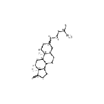 C=C1CCC2C3CCC4CC(=NOCC(C)N)CC[C@]4(C)C3CC[C@]12C